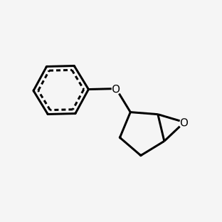 c1ccc(OC2CCC3OC23)cc1